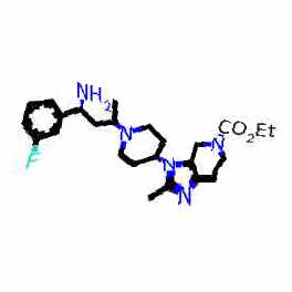 CCOC(=O)N1CCc2nc(C)n(C3CCN(C(C)C[C@H](N)c4cccc(F)c4)CC3)c2C1